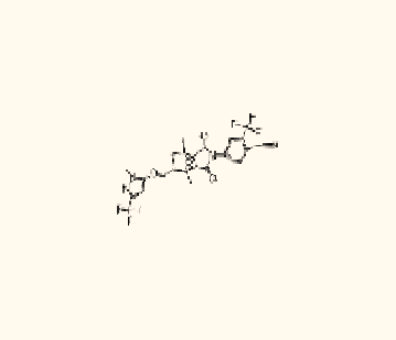 Cn1nc(C(F)(F)F)cc1OCC1CC2(C)OC1(C)C1C(=O)N(c3ccc(C#N)c(C(F)(F)F)c3)C(=O)C12